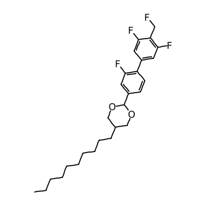 CCCCCCCCCCC1COC(c2ccc(-c3cc(F)c(CF)c(F)c3)c(F)c2)OC1